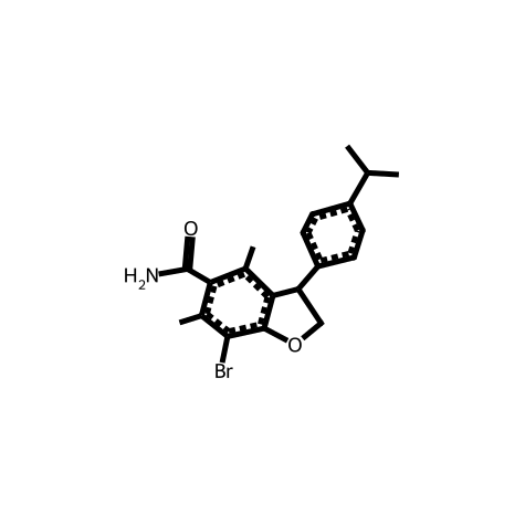 Cc1c(Br)c2c(c(C)c1C(N)=O)C(c1ccc(C(C)C)cc1)CO2